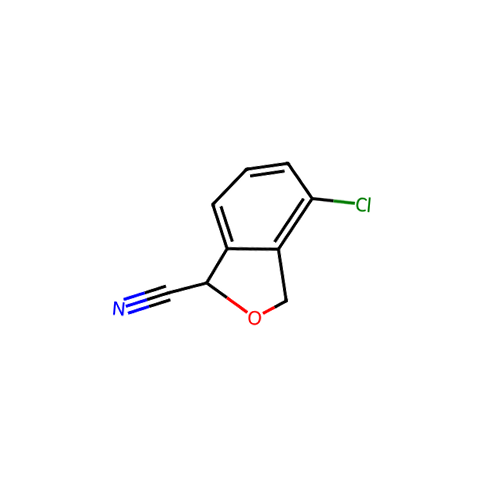 N#CC1OCc2c(Cl)cccc21